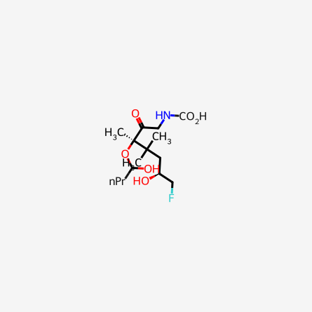 CCCC(O)O[C@@](C)(C(=O)CNC(=O)O)C(C)(C)C[C@H](O)CF